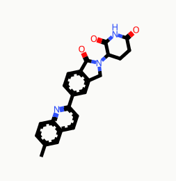 Cc1ccc2nc(-c3ccc4c(c3)CN(C3CCC(=O)NC3=O)C4=O)ccc2c1